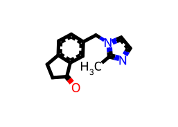 Cc1nccn1Cc1ccc2c(c1)C(=O)CC2